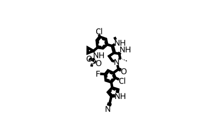 CN/C(=C1/CCN(C(=O)c2cc(F)cc(-c3c[nH]c(C#N)c3)c2Cl)[C@@H](C)C1=N)c1cc(Cl)cc(C2(NS(C)(=O)=O)CC2)c1